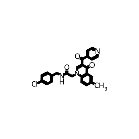 Cc1ccc2c(c1)c(=O)c(C(=O)c1ccncc1)cn2CC(=O)NCc1ccc(Cl)cc1